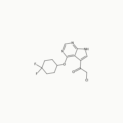 O=C(CCl)c1c[nH]c2ncnc(OC3CCC(F)(F)CC3)c12